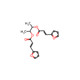 CC(OC(=O)C=Cc1ccco1)C(C)OC(=O)C=Cc1ccco1